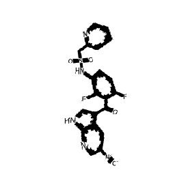 [C-]#[N+]c1cnc2[nH]cc(C(=O)c3c(F)ccc(NS(=O)(=O)Cc4ccccn4)c3F)c2c1